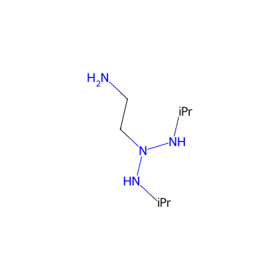 CC(C)NN(CCN)NC(C)C